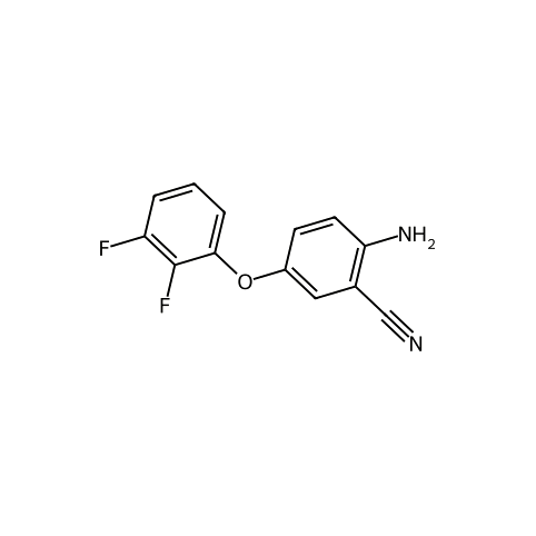 N#Cc1cc(Oc2cccc(F)c2F)ccc1N